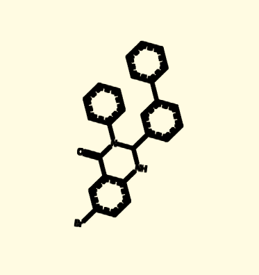 O=C1c2cc(Br)ccc2NC(c2cccc(-c3ccccc3)c2)N1c1ccccc1